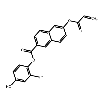 C=CC(=O)Oc1ccc2cc(C(=O)Oc3ccc(O)cc3C(C)C)ccc2c1